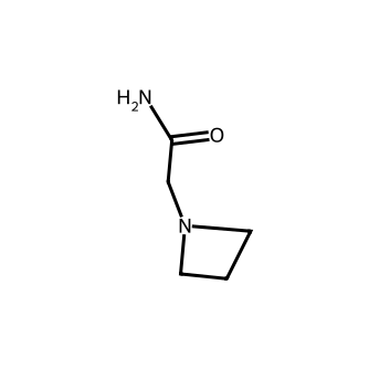 NC(=O)CN1CCC1